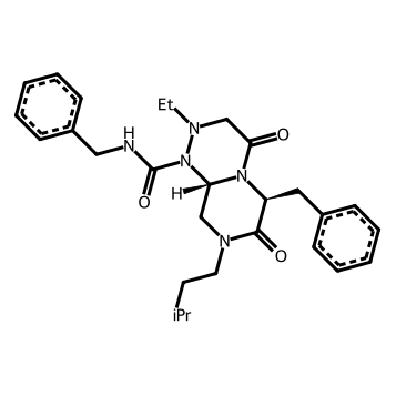 CCN1CC(=O)N2[C@@H](Cc3ccccc3)C(=O)N(CCC(C)C)C[C@@H]2N1C(=O)NCc1ccccc1